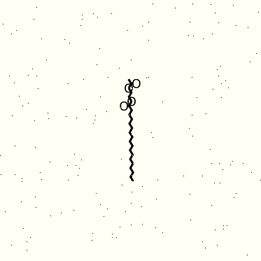 CCCCCCCCCCCCCCCCCC(=O)OCCOC(C)=O